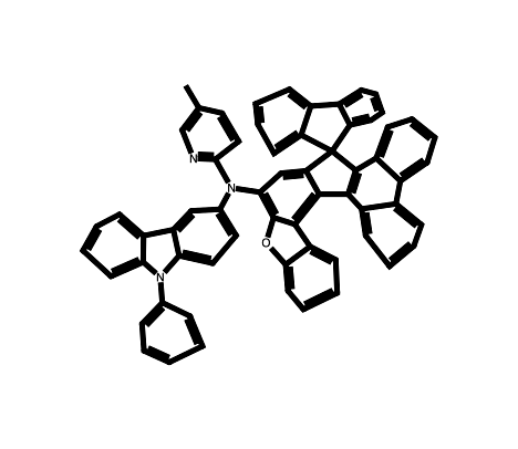 Cc1ccc(N(c2ccc3c(c2)c2ccccc2n3-c2ccccc2)c2cc3c(c4c2oc2ccccc24)-c2c(c4ccccc4c4ccccc24)C32c3ccccc3-c3ccccc32)nc1